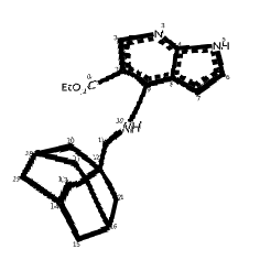 CCOC(=O)c1cnc2[nH]ccc2c1NCC12CC3CC(CC(C3)C1)C2